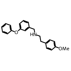 COc1ccc(CCNCc2cccc(Oc3ccccc3)c2)cc1